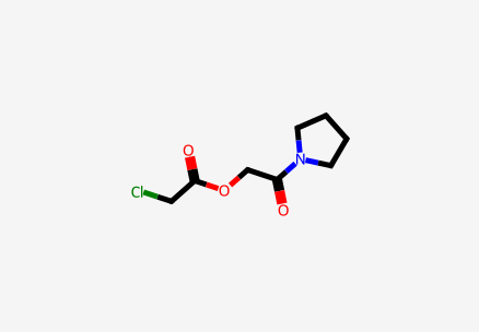 O=C(CCl)OCC(=O)N1CCCC1